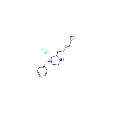 Cl.Cl.c1ccc(CN2CCN[C@H](CCOCC3CC3)C2)cc1